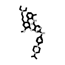 CCN(CC)CCCc1ccc(Oc2nc(Nc3ccc(N4CCN(C(C)C)CC4)cc3)ncc2C(=O)Nc2c(C)cccc2C)c(OC)c1